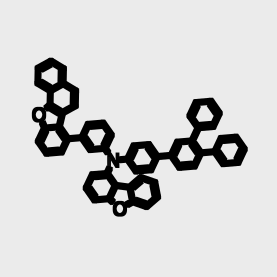 C1=CC2Oc3ccccc3C2C(N(c2ccc(-c3ccc(-c4ccccc4)c(-c4ccccc4)c3)cc2)c2cccc(-c3cccc4oc5c6ccccc6ccc5c34)c2)=C1